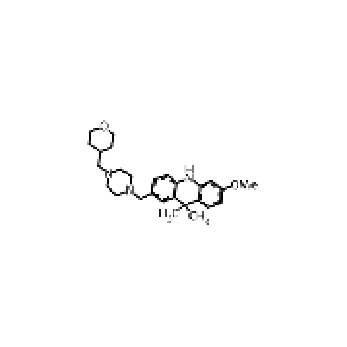 COc1ccc2c(c1)Nc1ccc(CN3CCN(CC4CCOCC4)CC3)cc1C2(C)C